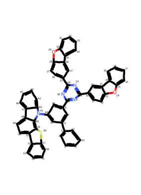 c1ccc(-c2cc(-c3nc(-c4ccc5oc6ccccc6c5c4)nc(-c4ccc5oc6ccccc6c5c4)n3)cc(-n3c4ccccc4c4ccc5c6ccccc6sc5c43)c2)cc1